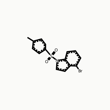 Cc1ccc(S(=O)(=O)n2ccc3c(Br)cccc32)cc1